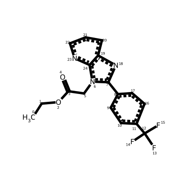 CCOC(=O)Cn1c(-c2ccc(C(F)(F)F)cc2)nc2cccnc21